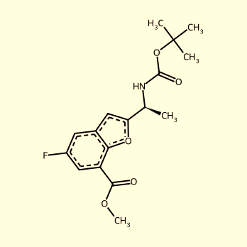 COC(=O)c1cc(F)cc2cc([C@H](C)NC(=O)OC(C)(C)C)oc12